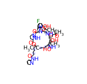 CC(=O)CC[C@H]1C(=O)N[C@@H](C(C)C)C(=O)N[C@@H](Cc2cc(O)cc(F)c2)C(=O)N2CCCC(N2)C(=O)O[C@H](/C(C)=C/C=C/C(=O)Nc2ccccn2)C/C=C/C=C/[C@H](NO)[C@H](C)[C@H]1O